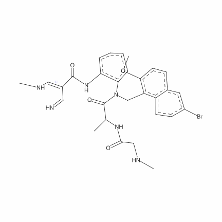 CN/C=C(\C=N)C(=O)Nc1ccccc1N(Cc1c(OC)ccc2cc(Br)ccc12)C(=O)C(C)NC(=O)CNC